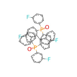 O=P(c1cccc(F)c1)(c1cccc(F)c1)c1ccc2ccccc2c1-c1c(P(=O)(c2cccc(F)c2)c2cccc(F)c2)ccc2ccccc12